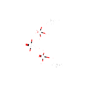 O=[As]([O-])([O-])[O-].O=[As]([O-])([O-])[O-].O=[As]([O-])([O-])[O-].[Ca+2].[Ca+2].[Ca+2].[Fe+3]